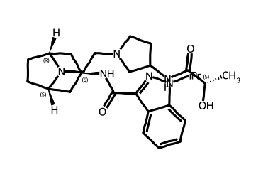 CC(C)n1nc(C(=O)N[C@@H]2C[C@H]3CC[C@@H](C2)N3CCN2CCC(NC(=O)[C@H](C)O)C2)c2ccccc21